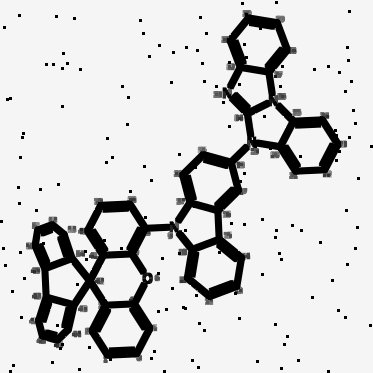 c1ccc2c(c1)Oc1c(-n3c4ccccc4c4cc(-n5c6ccccc6n6c7ccccc7nc56)ccc43)cccc1C21c2ccccc2-c2ccccc21